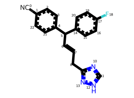 N#Cc1ccc(C(C=CCc2nc[nH]n2)c2ccc(F)cc2)cc1